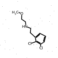 COCCNCCc1cccc(Cl)c1Cl